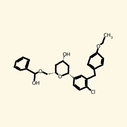 CCOc1ccc(Cc2cc([C@H]3C[C@@H](O)C[C@@H](COC(O)c4ccccc4)O3)ccc2Cl)cc1